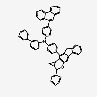 c1ccc(-c2cccc(N(c3ccc(-c4c5c(cc6c4C4CC4C(c4ccccc4)O6)-c4ccccc4C5)cc3)c3ccc(-c4cc5ccccc5c5ccccc45)cc3)c2)cc1